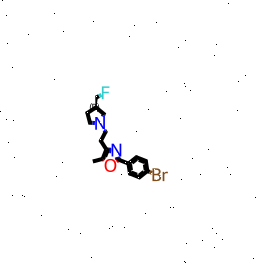 Cc1oc(-c2ccc(Br)cc2)nc1CCN1CC[C@@H](CF)C1